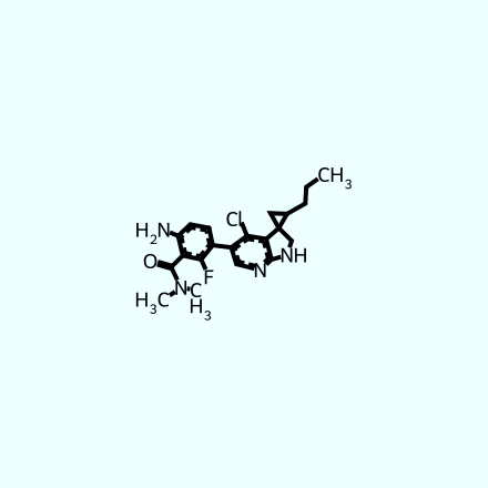 CCCC1CC12CNc1ncc(-c3ccc(N)c(C(=O)N(C)C)c3F)c(Cl)c12